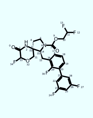 O=C1N[C@]2(CCN(C(=O)OCC(F)F)[C@H]2Cc2cccc(-c3cc(F)cc(F)c3)c2F)COC1F